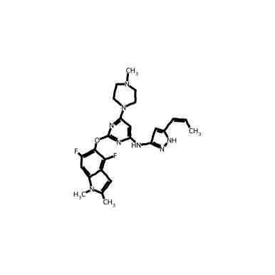 C/C=C\c1cc(Nc2cc(N3CCN(C)CC3)nc(Oc3c(F)cc4c(cc(C)n4C)c3F)n2)n[nH]1